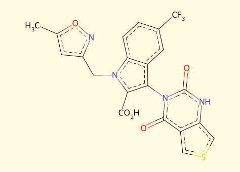 Cc1cc(Cn2c(C(=O)O)c(-n3c(=O)[nH]c4cscc4c3=O)c3cc(C(F)(F)F)ccc32)no1